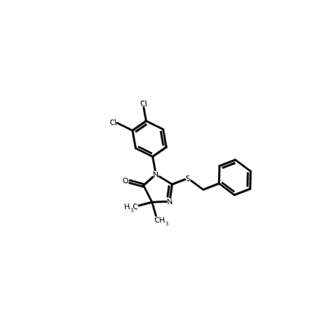 CC1(C)N=C(SCc2ccccc2)N(c2ccc(Cl)c(Cl)c2)C1=O